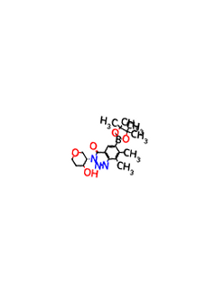 Cc1c(B2OC(C)(C)C(C)(C)O2)cc2c(=O)n([C@H]3COCC[C@@H]3O)nnc2c1C